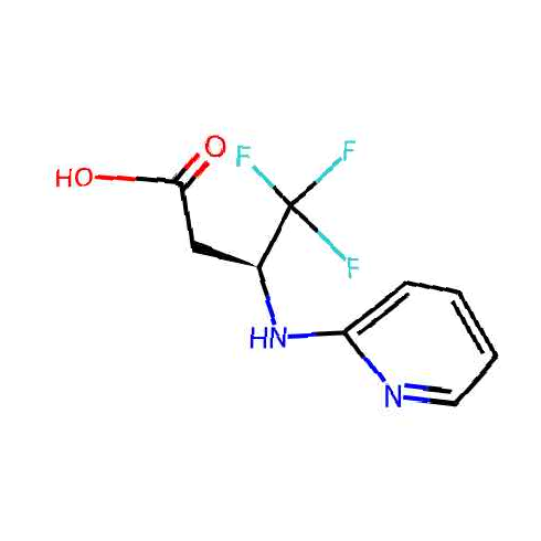 O=C(O)C[C@H](Nc1ccccn1)C(F)(F)F